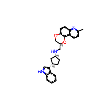 Cc1ccc2c3c(ccc2n1)OC[C@H](CN[C@@H]1CC[C@H](c2c[nH]c4ccccc24)C1)O3